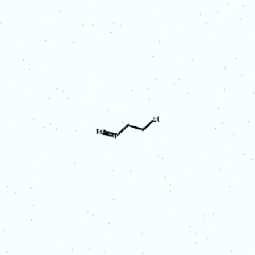 CCCCP=[Te]